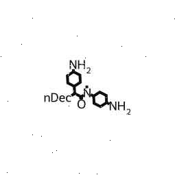 CCCCCCCCCCC(C(=O)N(C)C1CCC(N)CC1)C1CCC(N)CC1